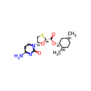 C[C@@H]1CC[C@@H](C)[C@H](OC(=O)[C@@H]2O[C@H](n3ccc(N)nc3=O)CS2)C1